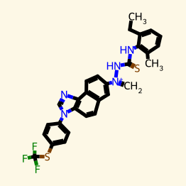 C=[N+](NC(=S)Nc1c(C)cccc1CC)c1ccc2c(ccc3c2ncn3-c2ccc(SC(F)(F)F)cc2)c1